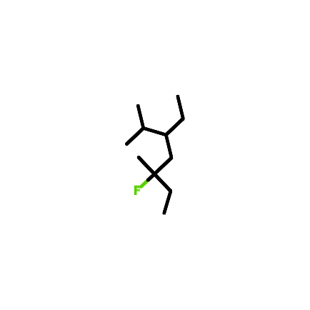 CCC(CC(C)(F)CC)C(C)C